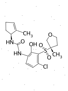 CC1=CCC[C@@H]1NC(=O)Nc1ccc(Cl)c(S(=O)(=O)[C@@]2(C)CCOC2)c1O